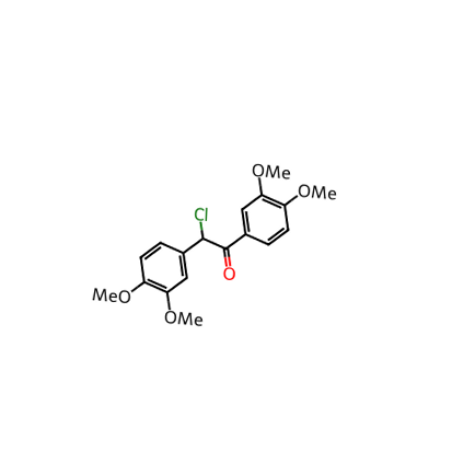 COc1ccc(C(=O)C(Cl)c2ccc(OC)c(OC)c2)cc1OC